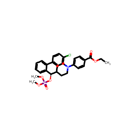 CCOC(=O)c1ccc(N2CCC([C@@H](OP(=O)(OC)OC)c3ccccc3-c3ccc(Cl)cc3)CC2)cc1